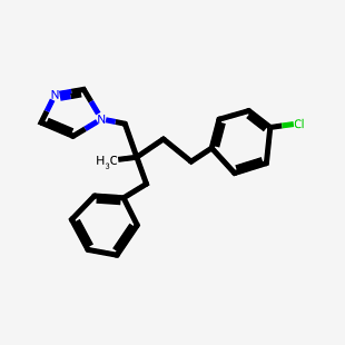 CC(CCc1ccc(Cl)cc1)(Cc1ccccc1)Cn1ccnc1